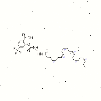 CC/C=C\C/C=C\C/C=C\C/C=C\C/C=C\C/C=C\CCC(=O)NCCNC(=O)Oc1cc(C(F)(F)F)ccc1C(=O)O